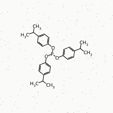 CC(C)c1ccc(OP(Oc2ccc(C(C)C)cc2)Oc2ccc(C(C)C)cc2)cc1